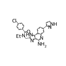 CCN(Cc1nc2c(N)nc3cc(-c4cc[nH]n4)ccc3c2[nH]1)C(=O)c1ccc(Cl)cc1